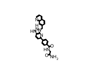 NC(=O)CNC(=O)c1ccc(-c2ccc3c(n2)N(Cc2ccc4cccnc4c2)NN3)cc1